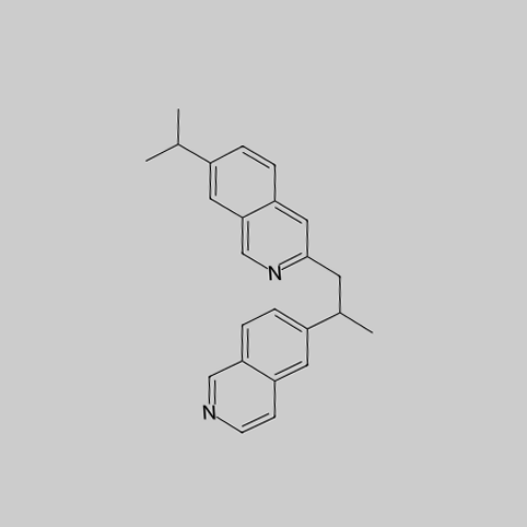 CC(C)c1ccc2cc(CC(C)c3ccc4cnccc4c3)ncc2c1